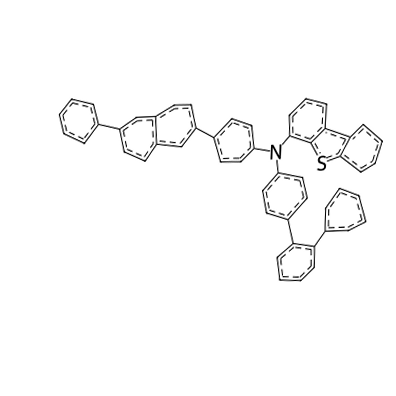 c1ccc(-c2ccc3cc(-c4ccc(N(c5ccc(-c6ccccc6-c6ccccc6)cc5)c5cccc6c5sc5ccccc56)cc4)ccc3c2)cc1